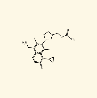 Cc1c(N2CCC(COC(N)=O)C2)c(F)c(CN)c2ccc(=O)n(C3CC3)c12